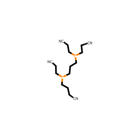 N#CCCCP(CCC#N)CCCP(CCC#N)CCC#N